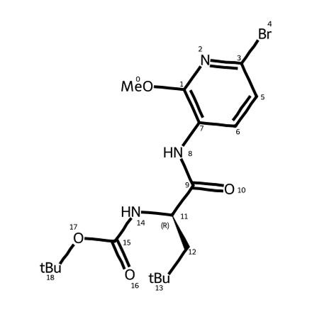 COc1nc(Br)ccc1NC(=O)[C@@H](CC(C)(C)C)NC(=O)OC(C)(C)C